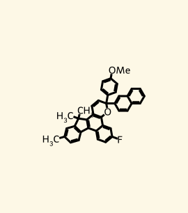 COc1ccc(C2(c3ccc4ccccc4c3)C=Cc3c4c(c5ccc(F)cc5c3O2)-c2ccc(C)cc2C4(C)C)cc1